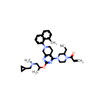 C=CC(=O)N1CCN(c2nc(OC(C)CN(C)CC3CC3)nc3c2CCN(c2cccc4cccc(C)c24)C3)CC1CC#N